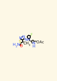 CC(=O)OC[C@@H]1C[C@H](Cc2cc(F)ccc2Nc2ncnc3sc(C(N)=O)c(C)c23)CN1